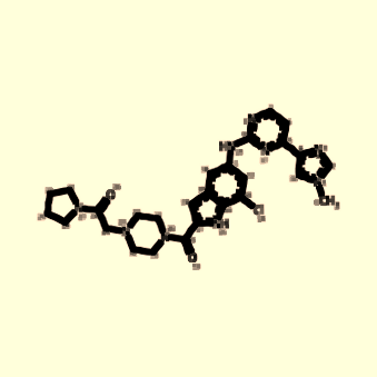 Cn1cnc(-c2ccnc(Nc3cc(Cl)c4[nH]c(C(=O)N5CCN(CC(=O)N6CCCC6)CC5)cc4c3)n2)c1